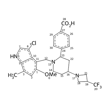 COc1cc(C)c2[nH]cc(Cl)c2c1CN1CCC(N2CC(C(F)(F)F)C2)CC1c1ccc(C(=O)O)cc1